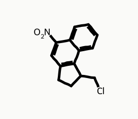 O=[N+]([O-])c1cc2c(c3ccccc13)C(CCl)CC2